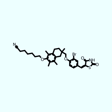 Cc1c(C)c(OCCCCCCC#N)c(C)c2c1CC(C)(COc1ccc(/C=C3/SC(=O)NC3=O)cc1Br)CC2